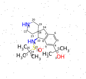 CC(C)(O)c1ccc2c(c1)[C@@H](N[S@+]([O-])C(C)(C)C)C1(CCNCC1)C2